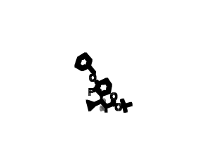 C[C@H](C(=O)OC(C)(C)C)[C@H](c1cccc(OCc2ccccc2)c1F)C1CC1